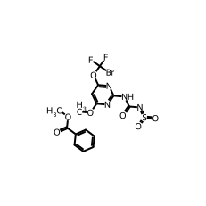 COC(=O)c1ccccc1.COc1cc(OC(F)(F)Br)nc(NC(=O)N=S(=O)=O)n1